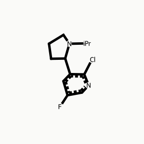 CC(C)N1CCCC1c1cc(F)cnc1Cl